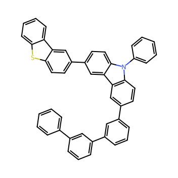 c1ccc(-c2cccc(-c3cccc(-c4ccc5c(c4)c4cc(-c6ccc7sc8ccccc8c7c6)ccc4n5-c4ccccc4)c3)c2)cc1